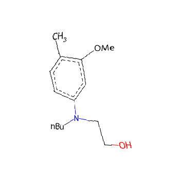 CCCCN(CCO)c1ccc(C)c(OC)c1